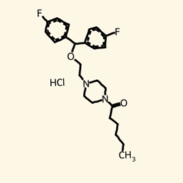 CCCCCC(=O)N1CCN(CCOC(c2ccc(F)cc2)c2ccc(F)cc2)CC1.Cl